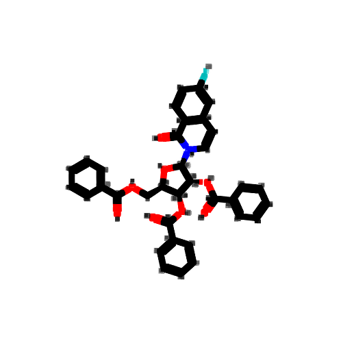 O=C(OC[C@H]1O[C@@H](n2ccc3cc(F)ccc3c2=O)[C@H](OC(=O)c2ccccc2)[C@H]1OC(=O)c1ccccc1)c1ccccc1